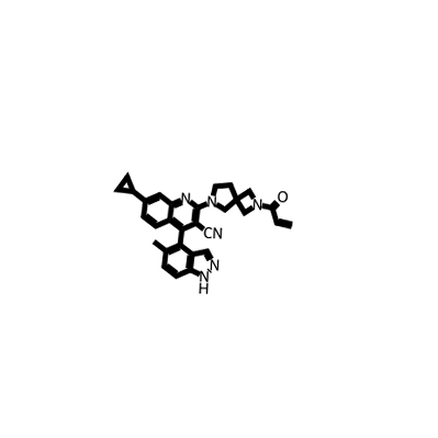 C=CC(=O)N1CC2(CCN(c3nc4cc(C5CC5)ccc4c(-c4c(C)ccc5[nH]ncc45)c3C#N)C2)C1